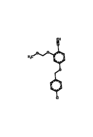 C#Cc1ccc(OCc2ccc(Cl)cc2)cc1OCOC